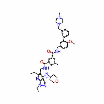 CCc1nc2c(cnn2CC)c(NC2CCOCC2)c1CNC(=O)c1cc(C)cc(C(=O)NCc2ccc(OC)c(-c3cccc(CN4CCN(C)CC4)c3)c2)c1